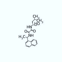 CC(C)C[C@@H](CO)NC(=O)C(=O)NC(C)c1cccc2ccccc12